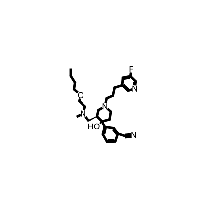 CCCCOCCN(C)C[C@H]1CN(CCCc2cncc(F)c2)CC[C@]1(O)c1cccc(C#N)c1